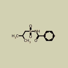 CC(C)CS(=O)(=O)NC(=O)c1cc[c]cc1